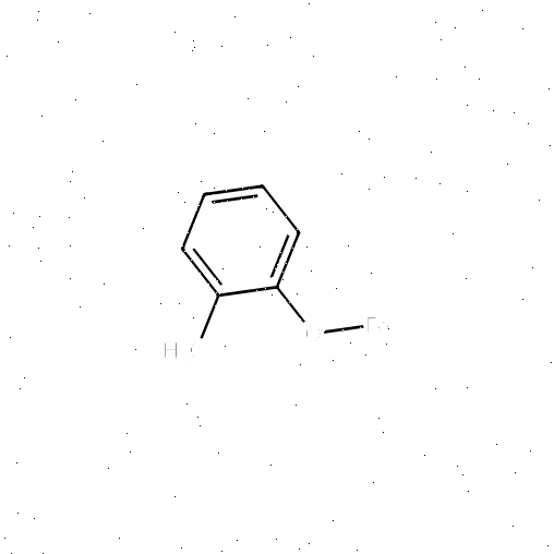 Cc1ccccc1[O][Fe]